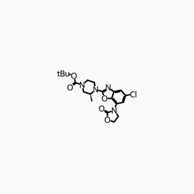 C[C@H]1CN(C(=O)OC(C)(C)C)CCN1c1nc2cc(Cl)cc(N3CCOC3=O)c2o1